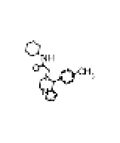 Cc1ccc(C2c3cccn3CCN2CC(=O)NC2CCCCC2)cc1